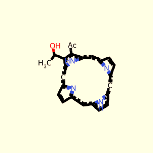 CC(=O)c1c(C(C)O)c2cc3nc(cc4ccc(cc5nc(cc1[nH]2)C=C5)[nH]4)C=C3